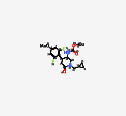 COc1cc(F)c(C2CC(=O)N(CC3CC3)C[C@@H]2NC(=O)OC(C)(C)C)c(F)c1